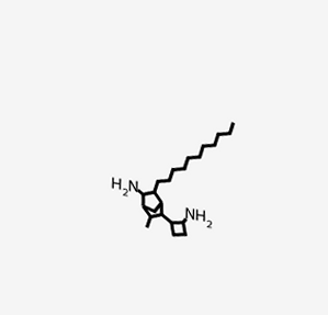 CCCCCCCCCCCC1C(N)C2CC1C(C1CCC1N)C2C